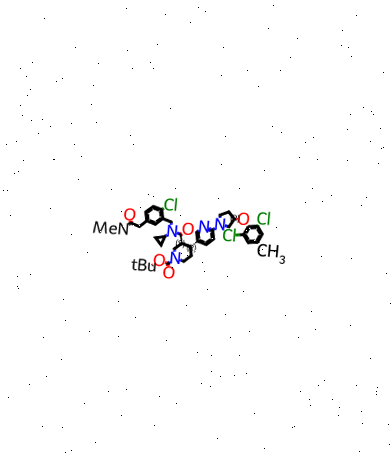 CNC(=O)Cc1ccc(Cl)c(CN(C(=O)[C@@H]2CN(C(=O)OC(C)(C)C)CC[C@H]2c2ccc(N3CC[C@@H](Oc4c(Cl)cc(C)cc4Cl)C3)nc2)C2CC2)c1